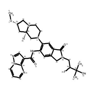 CO[C@H]1C[C@@H]2CN(c3cc4c(cc3NC(=O)c3cnn5cccnc35)CN(CC(F)C(C)(C)O)C4=O)CCN2C1